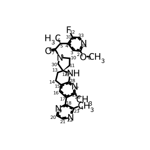 COc1cc([C@@H](C)C(=O)N2CC[C@@]3(CCc4cc(-c5nccnc5C)c(C)nc4N3)C2)c(F)cn1